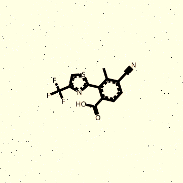 Cc1c(C#N)ccc(C(=O)O)c1-c1nc(C(F)(F)F)cs1